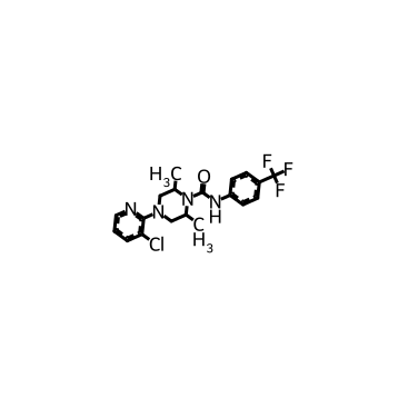 CC1CN(c2ncccc2Cl)CC(C)N1C(=O)Nc1ccc(C(F)(F)F)cc1